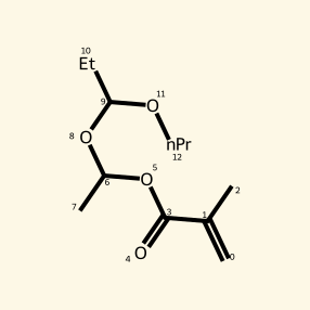 C=C(C)C(=O)OC(C)OC(CC)OCCC